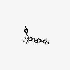 CC1CC(Cn2ncc3cc(-c4cn[nH]c4)ccc32)CN1C(=O)CCc1ccc(F)cc1